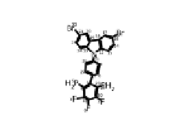 Fc1c(F)c(P)c(-c2ccc(-n3c4ccc(Br)cc4c4cc(Br)ccc43)cc2)c(P)c1F